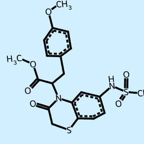 COC(=O)C(Cc1ccc(OC)cc1)N1C(=O)CSc2ccc(NS(C)(=O)=O)cc21